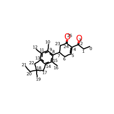 CCC(=O)C1=CCC(c2c(C)c(C)c3c(c2C)CC(C)(CC)C3)CC1=O